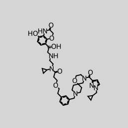 O=C1COc2c([C@@H](O)CNCCN(C(=O)CCOCCc3cccc(CN4CCC5(CC4)CN(C(=O)c4ccn(CC6CC6)n4)CCO5)c3)C3CC3)ccc(O)c2N1